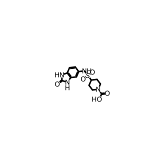 O=C(O)N1CCC(S(=O)(=O)Nc2ccc3[nH]c(=O)[nH]c3c2)CC1